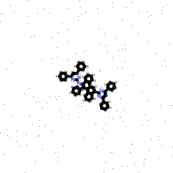 c1ccc(-c2cc(-c3ccccc3)nc(-c3cc4c5ccccc5c5c(c6ccccc6n5-c5nc(-c6ccccc6)cc(-c6ccccc6)n5)c4c4ccccc34)n2)cc1